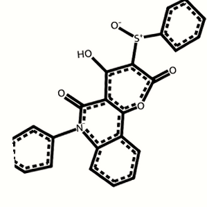 O=c1oc2c(c(O)c1[S+]([O-])c1ccccc1)c(=O)n(-c1ccccc1)c1ccccc21